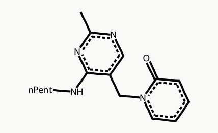 CCCCCNc1nc(C)ncc1Cn1ccccc1=O